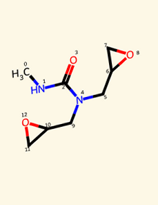 CNC(=O)N(CC1CO1)CC1CO1